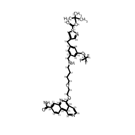 CC(C)(C)OC(=O)n1cc(Cc2cc(CNCCCCOCCOc3nc4cc(C(N)=O)ccc4c4cnccc34)cc(OC(F)(F)F)c2)cn1